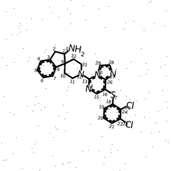 NC1Cc2ccccc2C12CCN(c1ncc(Sc3cccc(Cl)c3Cl)c3nccn13)CC2